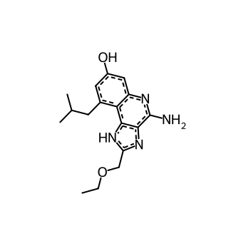 CCOCc1nc2c(N)nc3cc(O)cc(CC(C)C)c3c2[nH]1